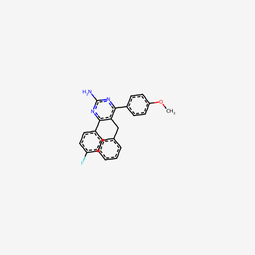 COc1ccc(-c2nc(N)nc(-c3ccc(F)cc3)c2Cc2ccccc2)cc1